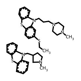 CCSc1ccc2c(c1)N(CCCN1CCN(C)CC1)c1ccccc1S2.CN1CCC(CN2c3ccccc3Sc3ccccc32)C1